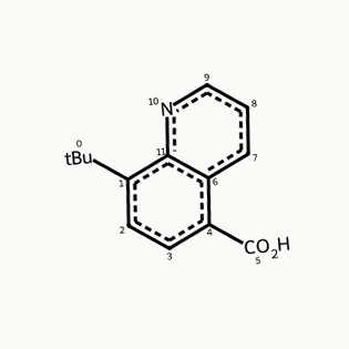 CC(C)(C)c1ccc(C(=O)O)c2cccnc12